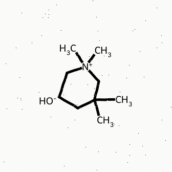 CC1(C)CCC[N+](C)(C)C1.[OH-]